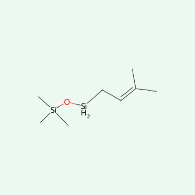 CC(C)=CC[SiH2]O[Si](C)(C)C